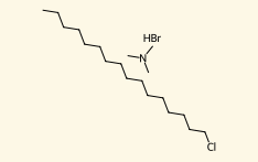 Br.CCCCCCCCCCCCCCCCCl.CN(C)C